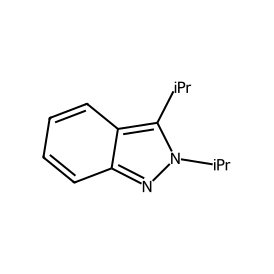 CC(C)c1c2ccccc2nn1C(C)C